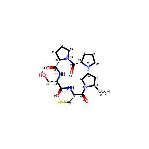 O=C(N[C@@H](CS)C(=O)N1CCC[C@H]1C(=O)O)[C@H](CO)NC(=O)[C@@H]1CCCN1C(=O)[C@@H]1CCCN1